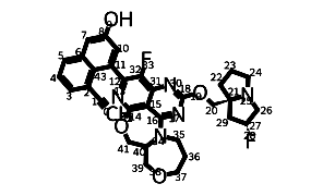 C#Cc1cccc2cc(O)cc(-c3nc4c5c(nc(OC[C@@]67CCCN6C[C@H](F)C7)nc5c3F)N3CCCOCC3CO4)c12